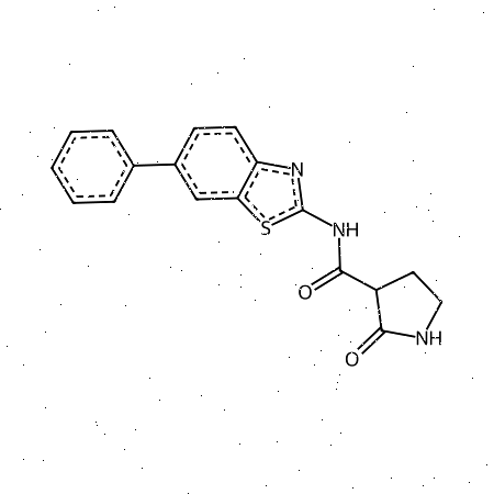 O=C1NCCC1C(=O)Nc1nc2ccc(-c3ccccc3)cc2s1